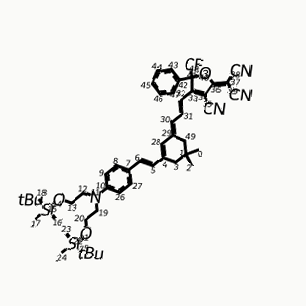 CC1(C)CC(/C=C/c2ccc(N(CCO[Si](C)(C)C(C)(C)C)CCO[Si](C)(C)C(C)(C)C)cc2)=CC(=C/C=C/C2=C(C#N)C(=C(C#N)C#N)OC2(c2ccccc2)C(F)(F)F)/C1